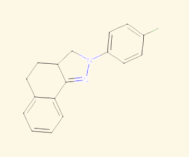 Clc1ccc(N2CC3CCc4ccccc4C3=N2)cc1